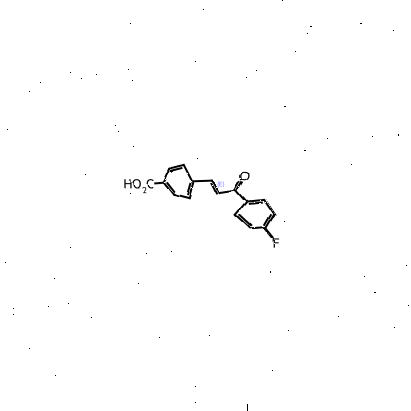 O=C(O)c1ccc(/C=C/C(=O)c2ccc(F)cc2)cc1